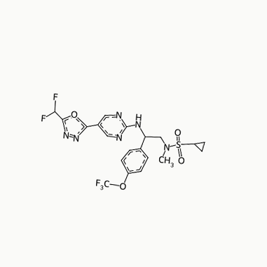 CN(CC(Nc1ncc(-c2nnc(C(F)F)o2)cn1)c1ccc(OC(F)(F)F)cc1)S(=O)(=O)C1CC1